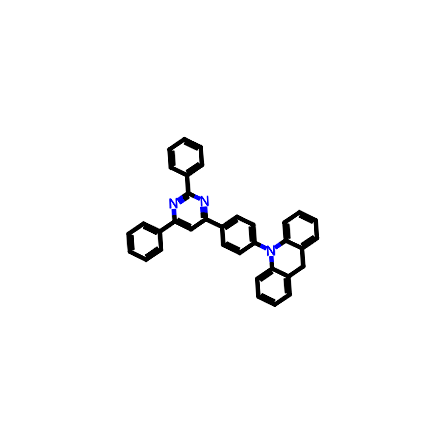 c1ccc(-c2cc(-c3ccc(N4c5ccccc5Cc5ccccc54)cc3)nc(-c3ccccc3)n2)cc1